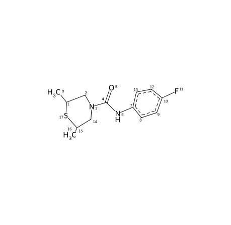 CC1CN(C(=O)Nc2ccc(F)cc2)CC(C)S1